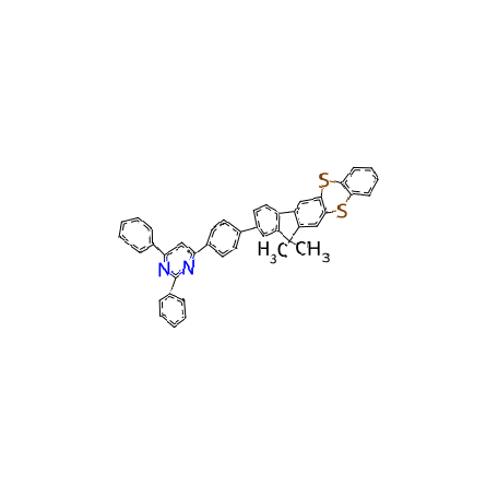 CC1(C)c2cc(-c3ccc(-c4cc(-c5ccccc5)nc(-c5ccccc5)n4)cc3)ccc2-c2cc3c(cc21)Sc1ccccc1S3